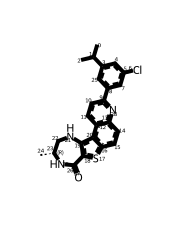 CC(C)c1cc(Cl)cc(-c2ccc3c(ccc4sc5c(c43)NC[C@@H](C)NC5=O)n2)c1